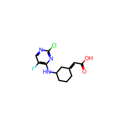 O=C(O)/C=C1\CCCC(Nc2nc(Cl)ncc2F)C1